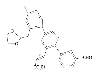 CCOC(=O)/C=C/c1cc(-c2ccc(C)cc2CC2OCCO2)ccc1-c1cccc(C=O)c1